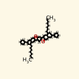 CCCCCCCCc1cc(-c2ccccc2)cc2cc3oc4cc5c(cc4c3cc12)oc1cc2cc(-c3ccccc3)cc(CCCCCCCC)c2cc15